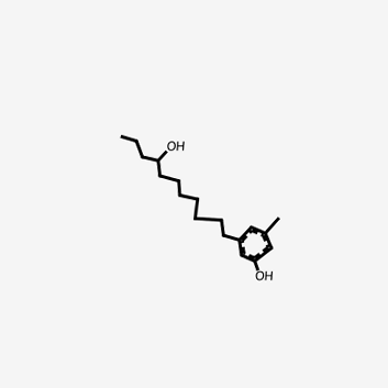 CCCC(O)CCCCCCCc1cc(C)cc(O)c1